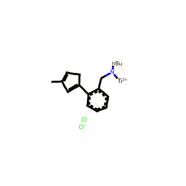 CCCC[N]([Ti+2])Cc1ccccc1C1=CC(C)=CC1.[Cl-].[Cl-]